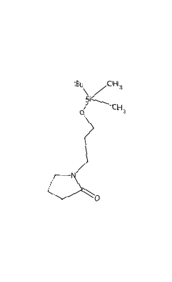 CC(C)(C)[Si](C)(C)OCCCN1CCCC1=O